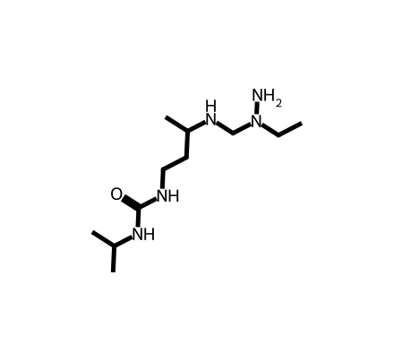 CCN(N)CNC(C)CCNC(=O)NC(C)C